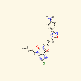 CCCCCn1c(=O)n(CCCCc2nc(-c3ccc(N(C)C)cc3)no2)c(=O)c2[nH]c(Cl)nc21